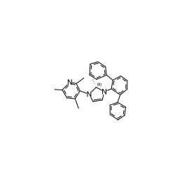 Cc1cc(C)c(N2C=CN(c3c(-c4ccccc4)cccc3-c3ccccc3)[C@H]2C)c(C)n1